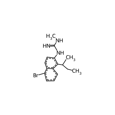 CCC(C)c1c(NC(=N)NC)ccc2c(Br)cccc12